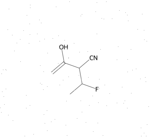 C=C(O)C(C#N)C(C)F